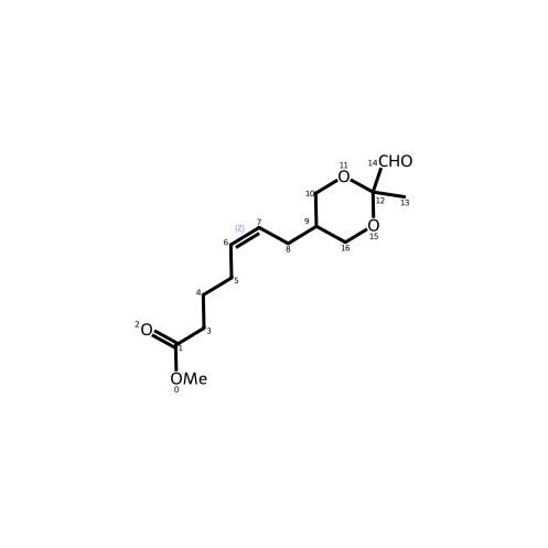 COC(=O)CCC/C=C\CC1COC(C)(C=O)OC1